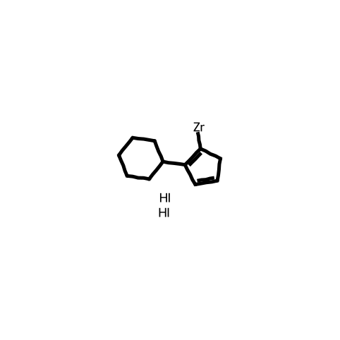 I.I.[Zr][C]1=C(C2CCCCC2)C=CC1